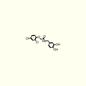 O=C(COc1ccc(Cl)cc1Cl)NCc1ccc(O)c(O)c1